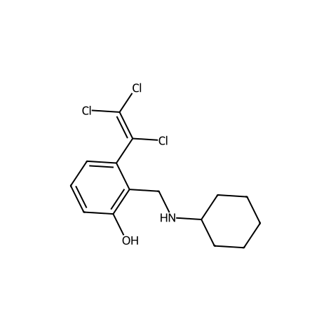 Oc1cccc(C(Cl)=C(Cl)Cl)c1CNC1CCCCC1